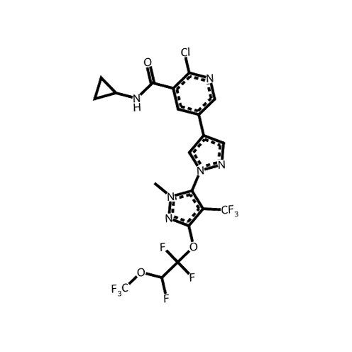 Cn1nc(OC(F)(F)C(F)OC(F)(F)F)c(C(F)(F)F)c1-n1cc(-c2cnc(Cl)c(C(=O)NC3CC3)c2)cn1